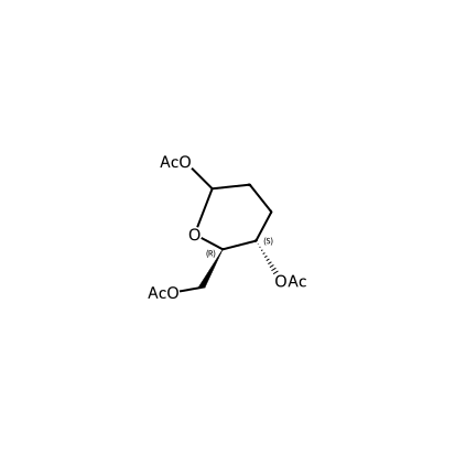 CC(=O)OC[C@H]1OC(OC(C)=O)CC[C@@H]1OC(C)=O